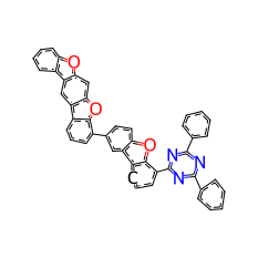 c1ccc(-c2nc(-c3ccccc3)nc(-c3cccc4c3oc3ccc(-c5cccc6c5oc5cc7oc8ccccc8c7cc56)cc34)n2)cc1